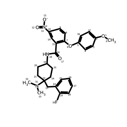 COc1ccc(Oc2ccc([N+](=O)[O-])cc2C(=O)NC2CCC(Cc3ccccc3F)(N(C)C)CC2)cc1